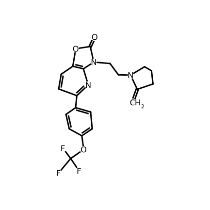 C=C1CCCN1CCn1c(=O)oc2ccc(-c3ccc(OC(F)(F)F)cc3)nc21